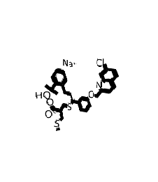 CSCC(CS[C@@H](CCc1ccccc1C(C)(C)O)c1cccc(OCc2ccc3ccc(Cl)cc3n2)c1)C(=O)[O-].[Na+]